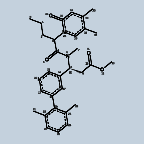 CCCC(C(=O)N(C)[C@H](CC(=O)OC)c1cncc(-c2c(C)cccc2C)c1)n1cc(C)c(C)cc1=O